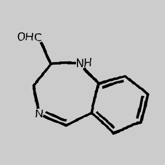 O=CC1CN=Cc2ccccc2N1